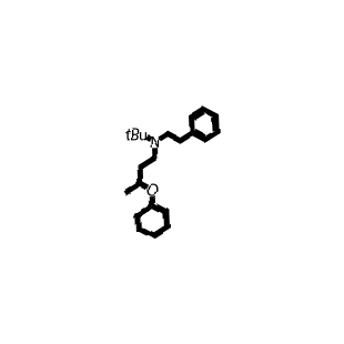 CC(CCN(CCc1ccccc1)C(C)(C)C)OC1CCCCC1